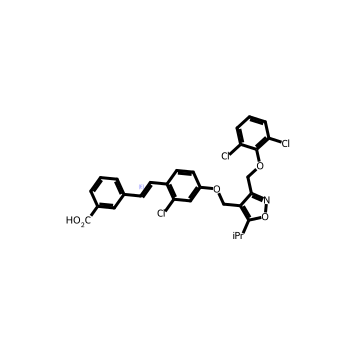 CC(C)c1onc(COc2c(Cl)cccc2Cl)c1COc1ccc(/C=C/c2cccc(C(=O)O)c2)c(Cl)c1